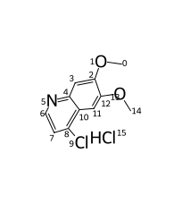 COc1cc2nccc(Cl)c2cc1OC.Cl